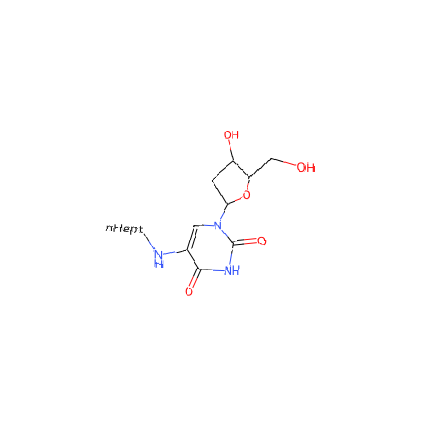 CCCCCCCNc1cn(C2CC(O)C(CO)O2)c(=O)[nH]c1=O